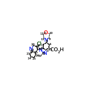 Cc1nc2c(C(=O)O)cc(N3CCOCC3)cc2n1-c1c(Cl)cnc2ccccc12